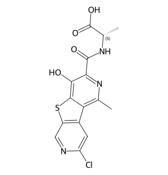 Cc1nc(C(=O)N[C@@H](C)C(=O)O)c(O)c2sc3cnc(Cl)cc3c12